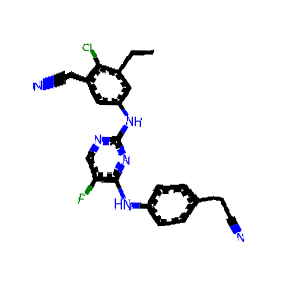 CCc1cc(Nc2ncc(F)c(Nc3ccc(CC#N)cc3)n2)cc(C#N)c1Cl